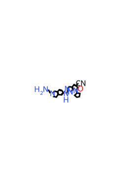 N#Cc1cc2cnc(Nc3ccc4c(c3)CCN(CCN)C4)nc2n(C2CCCC2)c1=O